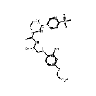 CC[C@@H](CNc1ccc(OCC(=O)O)cc1OC)NC(=O)[C@H](CC(C)C)N[C@@H](c1ccc(S(C)(=O)=O)nc1)C(F)(F)F